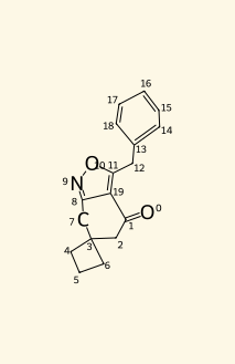 O=C1CC2(CCC2)Cc2noc(Cc3ccccc3)c21